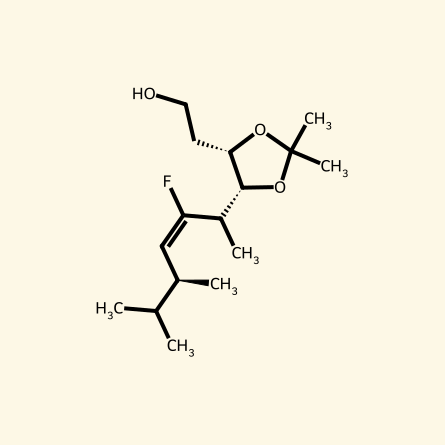 CC(C)[C@H](C)/C=C(/F)C(C)[C@H]1OC(C)(C)O[C@H]1CCO